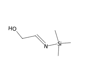 C[Si](C)(C)N=CCO